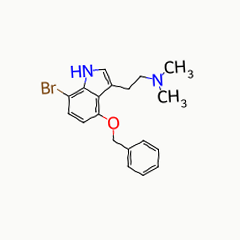 CN(C)CCc1c[nH]c2c(Br)ccc(OCc3ccccc3)c12